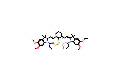 CCOc1cc2c(cc1OC)[N+](C(CC)OSI)=C(/C=C/C1=C(Cl)C(=C/C=C3\N(C(CC)OSI)c4cc(OC)c(OCC)cc4C3(C)C)/CCC1)C2(C)C